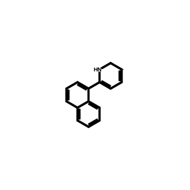 [C]1=CC=C(c2cccc3ccccc23)NC1